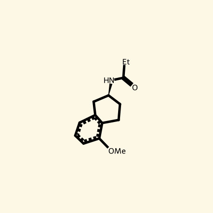 CCC(=O)N[C@H]1CCc2c(cccc2OC)C1